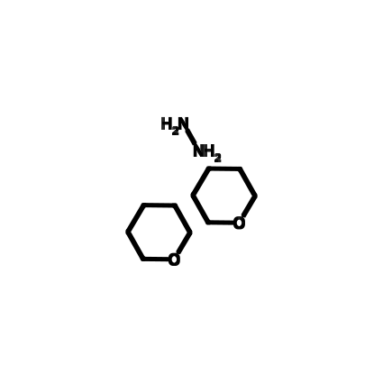 C1CCOCC1.C1CCOCC1.NN